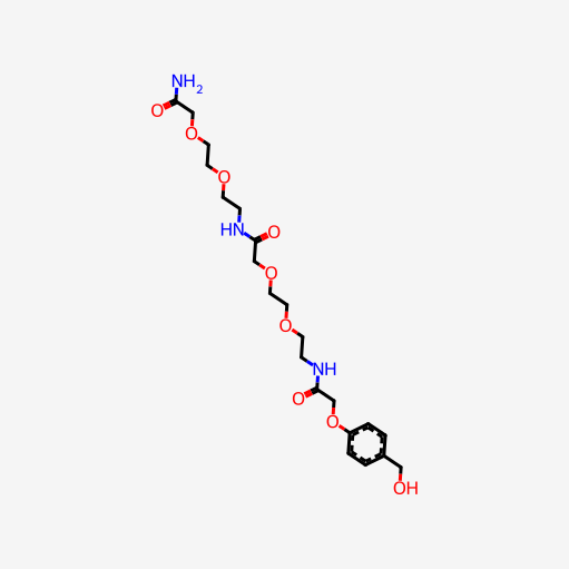 NC(=O)COCCOCCNC(=O)COCCOCCNC(=O)COc1ccc(CO)cc1